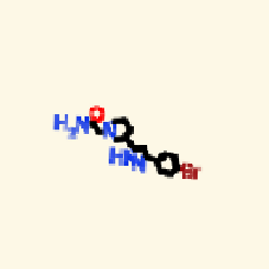 NC(=O)CN1CCC=C(c2cc(-c3ccc(Br)cc3)n[nH]2)C1